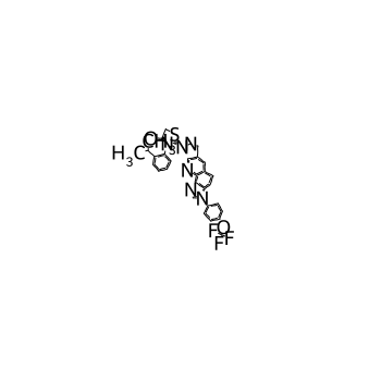 CC(C)c1ccccc1N1C(=O)CS/C1=N\N=C/c1cnc2c(ccc3c2ncn3-c2ccc(OC(F)(F)F)cc2)c1